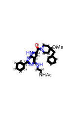 COC1(Cc2ccccc2)CCN(C(=O)c2cc3c(NCCNC(C)=O)nc(-c4ccccc4)nc3[nH]2)CC1